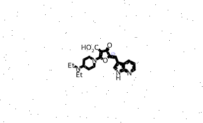 CCN(CC)C1CCN(C2=C(C(=O)O)C(=O)/C(=C/c3c[nH]c4ncccc34)O2)CC1